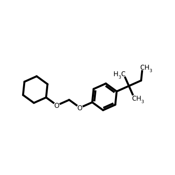 CCC(C)(C)c1ccc(OCOC2CCCCC2)cc1